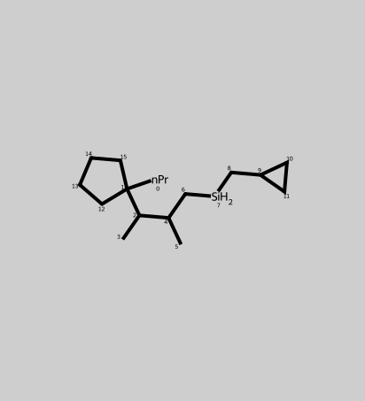 CCCC1(C(C)C(C)C[SiH2]CC2CC2)CCCC1